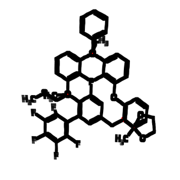 COCOc1c(-c2c(F)c(F)c(F)c(F)c2F)cc(CCC2(C)OCCO2)cc1P(c1c(OC)cccc1OC)c1c(Oc2ccccc2)cccc1Oc1ccccc1